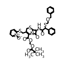 CC(C)(C)C(=O)OCOC(=O)C1=C(CSc2cccc[n+]2[O-])CSC2[C@@H](NC(=O)C(SCOCc3ccccc3)c3ccccc3)C(=O)N12